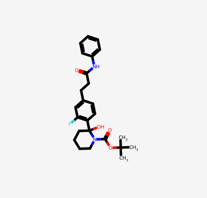 CC(C)(C)OC(=O)N1CCCCC1(O)c1ccc(CCC(=O)Nc2ccccc2)cc1F